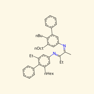 CCCCCCCCc1cc(N=C(C)C(CC)=Nc2cc(CC)c(-c3ccccc3)c(CCCCCC)c2)cc(-c2ccccc2)c1CCCC